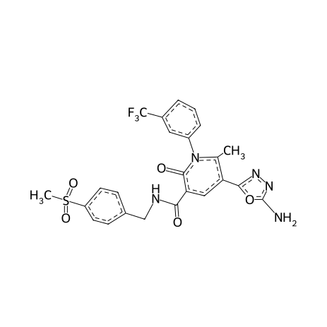 Cc1c(-c2nnc(N)o2)cc(C(=O)NCc2ccc(S(C)(=O)=O)cc2)c(=O)n1-c1cccc(C(F)(F)F)c1